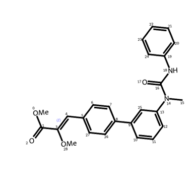 COC(=O)/C(=C/c1ccc(-c2cccc(N(C)C(=O)Nc3ccccc3)c2)cc1)OC